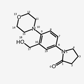 O=C1CCCN1c1ccc(N2CCOCC2)c(CO)c1